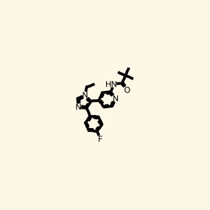 CCn1cnc(-c2ccc(F)cc2)c1-c1ccnc(NC(=O)C(C)(C)C)c1